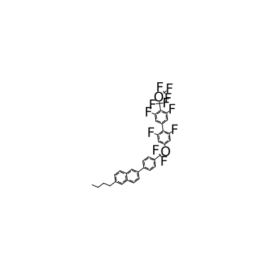 CCCCc1ccc2cc(-c3ccc(C(F)(F)Oc4cc(F)c(-c5cc(F)c(C(F)(F)OC(F)(F)F)c(F)c5)c(F)c4)cc3)ccc2c1